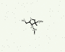 COC1(C)COC(CO)C1OPC